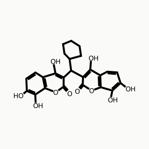 O=c1oc2c(O)c(O)ccc2c(O)c1C(c1c(O)c2ccc(O)c(O)c2oc1=O)C1CCCCC1